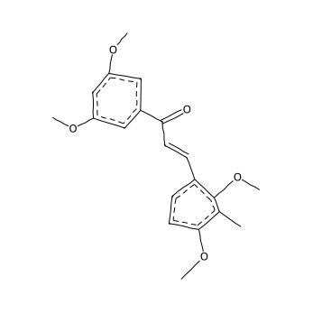 COc1cc(OC)cc(C(=O)C=Cc2ccc(OC)c(C)c2OC)c1